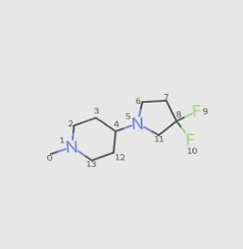 CN1CCC(N2CCC(F)(F)C2)CC1